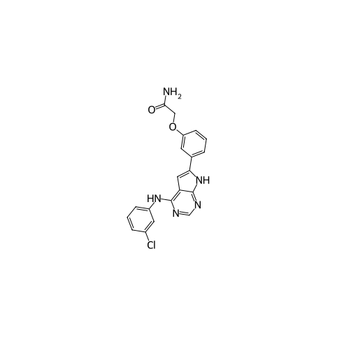 NC(=O)COc1cccc(-c2cc3c(Nc4cccc(Cl)c4)ncnc3[nH]2)c1